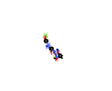 CCOCc1ccc(C)cc1N1C(=O)CSC1=NC(=O)Nc1ccc(-c2ncn(-c3ccc(OC(F)(F)F)cc3)n2)cc1Br